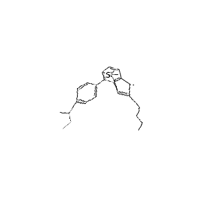 CCCCC1=C2c3c(ccc(c3-c3ccc(C(C)CC)cc3)[Si]2(C)C)[CH]1